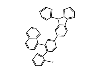 Brc1ccccc1-c1ccc(-c2ccc3c4ccccc4n(-c4ccccc4)c3c2)cc1-c1cccc2ccccc12